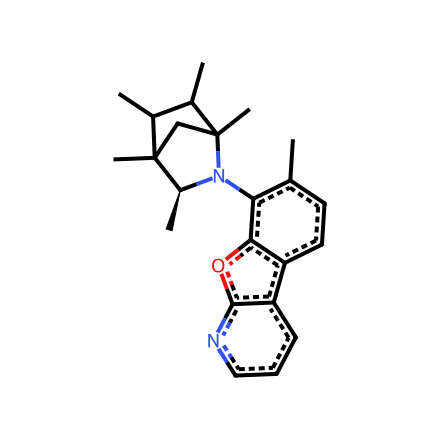 Cc1ccc2c(oc3ncccc32)c1N1[C@@H](C)C2(C)CC1(C)C(C)C2C